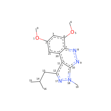 COc1cc(OC)c2nnc3c(c(CC(C)C)nn3C)c2c1